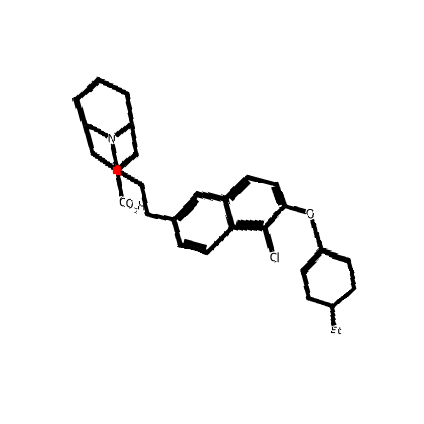 CCC1CCC(Oc2ccc3cc(CCCN4C5CCCC4CC(C(=O)O)C5)ccc3c2Cl)CC1